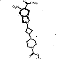 COC(=O)c1cc2nn(C3CC(N4CCN(C(=O)OC(C)(C)C)CC4)C3)cc2cc1[N+](=O)[O-]